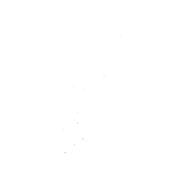 O=C(NC1CCOCC1)c1ccc2c(c1)sc1nc(Br)cn12